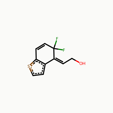 OCC=C1c2ccsc2C=CC1(F)F